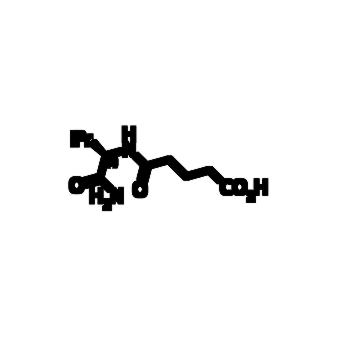 CC(C)[C@@H](NC(=O)CCCC(=O)O)C(N)=O